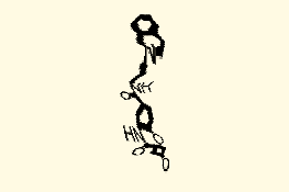 O=C1CC2(C1)Oc1ccc(C(=O)NCCCN3CCc4ccccc4C3)cc1NC2=O